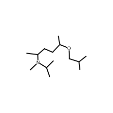 CC(C)COC(C)CCC(C)N(C)C(C)C